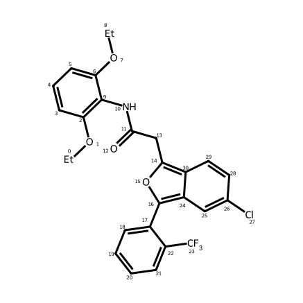 CCOc1cccc(OCC)c1NC(=O)Cc1oc(-c2ccccc2C(F)(F)F)c2cc(Cl)ccc12